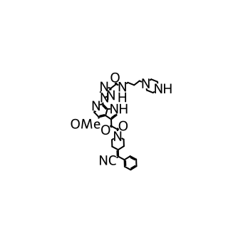 COc1cnc(-n2cnc(C(=O)NCCCN3CCNCC3)n2)c2[nH]cc(C(=O)C(=O)N3CCC(=C(C#N)c4ccccc4)CC3)c12